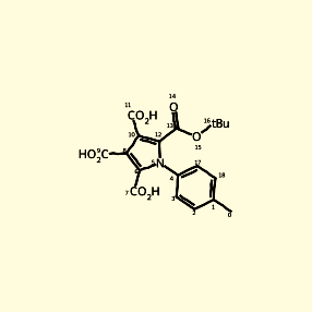 Cc1ccc(-n2c(C(=O)O)c(C(=O)O)c(C(=O)O)c2C(=O)OC(C)(C)C)cc1